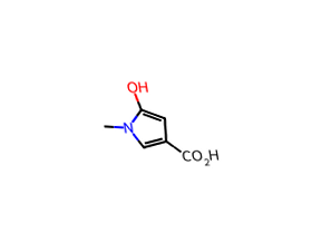 Cn1cc(C(=O)O)cc1O